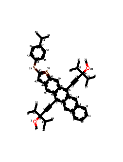 COC(C#Cc1c2cc3ccccc3cc2c(C#CC(OC)(C(C)C)C(C)C)c2cc3sc(Sc4ccc(C(C)C)cc4)cc3cc12)(C(C)C)C(C)C